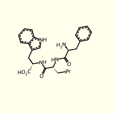 CC(C)C[C@@H](NC(=O)[C@@H](N)Cc1ccccc1)C(=O)N[C@@H](Cc1c[nH]c2ccccc12)C(=O)O